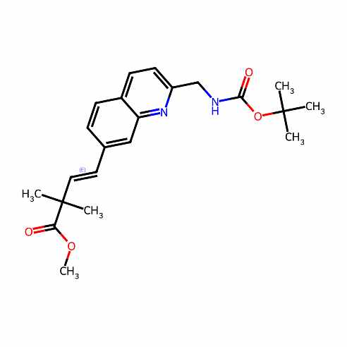 COC(=O)C(C)(C)/C=C/c1ccc2ccc(CNC(=O)OC(C)(C)C)nc2c1